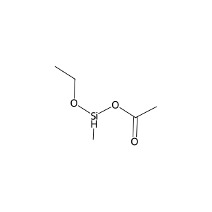 CCO[SiH](C)OC(C)=O